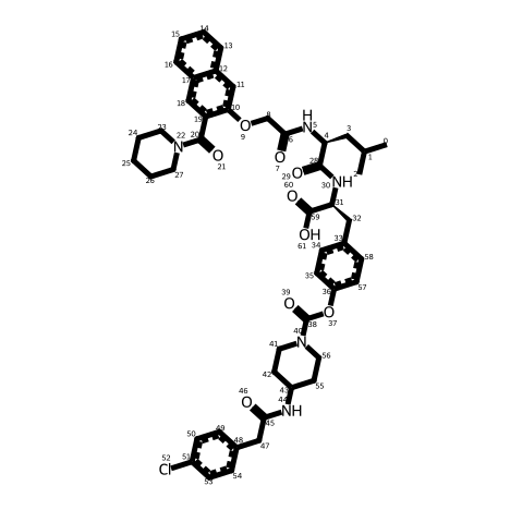 CC(C)C[C@H](NC(=O)COc1cc2ccccc2cc1C(=O)N1CCCCC1)C(=O)N[C@@H](Cc1ccc(OC(=O)N2CCC(NC(=O)Cc3ccc(Cl)cc3)CC2)cc1)C(=O)O